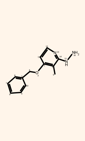 Cc1c(OCc2ccccc2)ccnc1NN